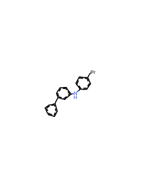 CC(C)c1ccc(Nc2cccc(-c3ccccc3)c2)cc1